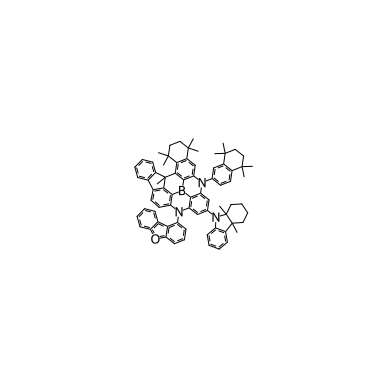 CC1(C)CCC(C)(C)c2cc(N3c4cc(N5c6ccccc6C6(C)CCCCC56C)cc5c4B4c6c(ccc7c6C(C)(c6ccccc6-7)c6c4c3cc3c6C(C)(C)CCC3(C)C)N5c3cccc4oc5ccccc5c34)ccc21